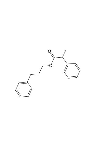 CC(C(=O)OCCCc1ccccc1)c1ccccc1